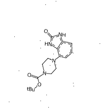 CC(C)(C)OC(=O)N1CCN(c2cccc3[nH]c(=O)[nH]c23)CC1